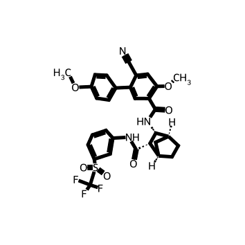 COc1ccc(-c2cc(C(=O)N[C@@H]3[C@H]4CC[C@H](C4)[C@@H]3C(=O)Nc3cccc(S(=O)(=O)C(F)(F)F)c3)c(OC)cc2C#N)cc1